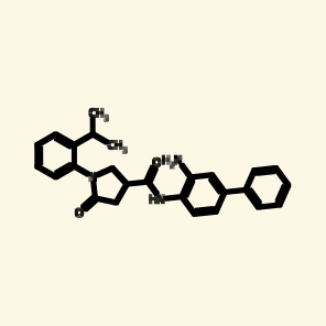 CC(C)c1ccccc1N1CC(C(=O)Nc2ccc(-c3ccccc3)cc2N)CC1=O